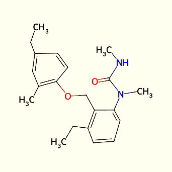 CCc1ccc(OCc2c(CC)cccc2N(C)C(=O)NC)c(C)c1